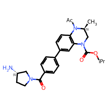 CC(=O)N1c2ccc(-c3ccc(C(=O)N4CC[C@H](N)C4)cc3)cc2N(C(=O)OC(C)C)C[C@@H]1C